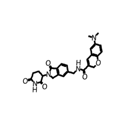 CN(C)c1ccc2c(c1)C=C(C(=O)NCc1ccc3c(c1)CN(C1CCC(=O)NC1=O)C3=O)CO2